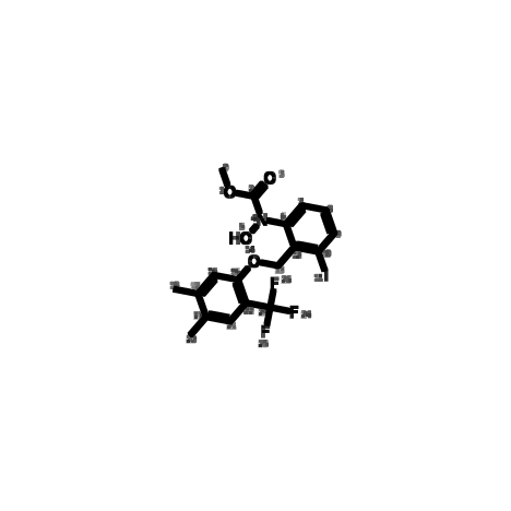 COC(=O)N(O)c1cccc(I)c1COc1cc(C)c(C)cc1C(F)(F)F